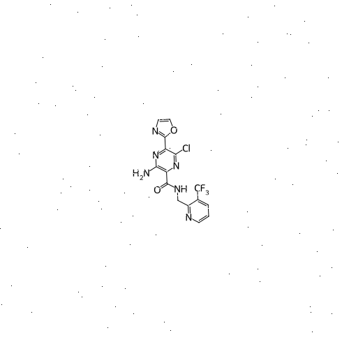 Nc1nc(-c2ncco2)c(Cl)nc1C(=O)NCc1ncccc1C(F)(F)F